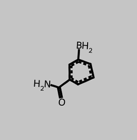 Bc1cccc(C(N)=O)c1